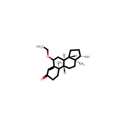 C[C@]12CC[C@H]3[C@@H](CC(OCC(=O)O)C4=CC(=O)CC[C@@]43C)[C@@H]1CC[C@@H]2O